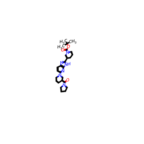 CC(C)(C)OC(=O)N1CCCC(c2nc3ccc(N4CCCC(C(=O)N5CCCC5)C4)nc3[nH]2)C1